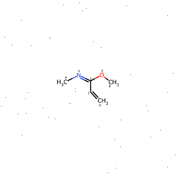 C=C/C(=N\C)OC